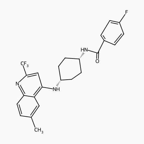 Cc1ccc2nc(C(F)(F)F)cc(N[C@H]3CC[C@@H](NC(=O)c4ccc(F)cc4)CC3)c2c1